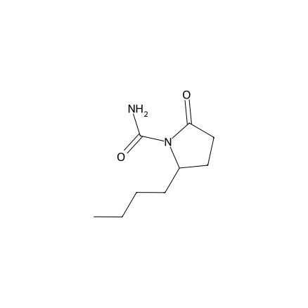 CCCCC1CCC(=O)N1C(N)=O